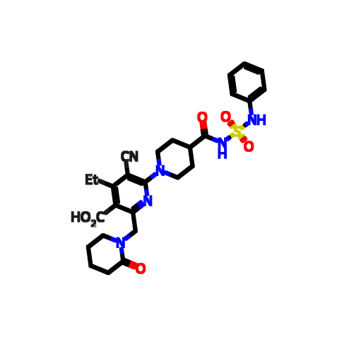 CCc1c(C#N)c(N2CCC(C(=O)NS(=O)(=O)Nc3ccccc3)CC2)nc(CN2CCCCC2=O)c1C(=O)O